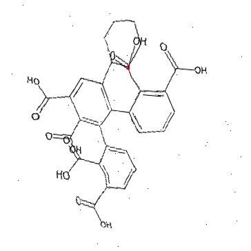 O=C(O)c1cccc(-c2c(C3CCCCC3)cc(C(=O)O)c(C(=O)O)c2-c2cccc(C(=O)O)c2C(=O)O)c1C(=O)O